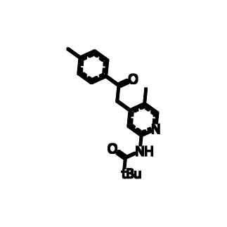 Cc1ccc(C(=O)Cc2cc(NC(=O)C(C)(C)C)ncc2C)cc1